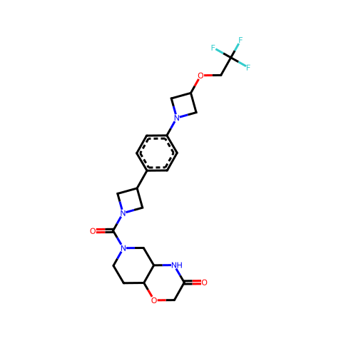 O=C1COC2CCN(C(=O)N3CC(c4ccc(N5CC(OCC(F)(F)F)C5)cc4)C3)CC2N1